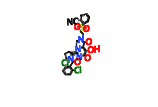 N#Cc1ccccc1S(=O)(=O)CCN1CCn2c([C@@H]3CCCN3C(=O)c3c(Cl)cccc3Cl)nc(=O)c(O)c2C1=O